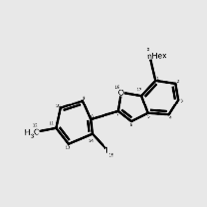 CCCCCCc1cccc2cc(-c3ccc(C)cc3I)oc12